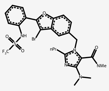 CCCc1nc(N(C)C)c(C(=O)NC)n1Cc1ccc2oc(-c3ccccc3NS(=O)(=O)C(F)(F)F)c(Br)c2c1